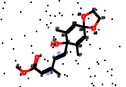 COC(=O)/C=C(C)\C=C\C1(O)C(C)=CC2(C=C1C)OCCO2